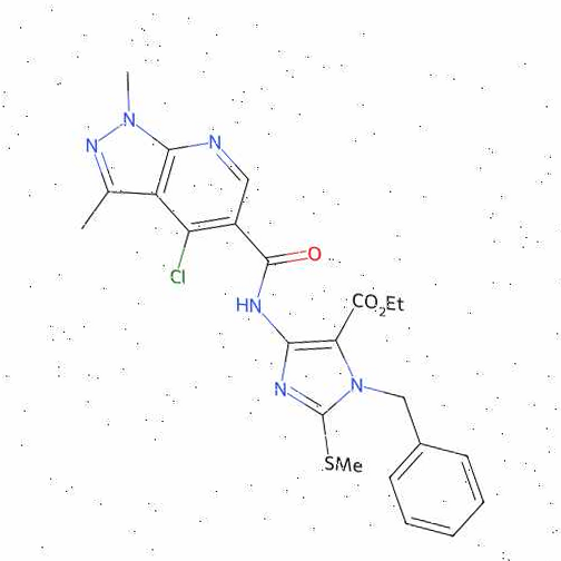 CCOC(=O)c1c(NC(=O)c2cnc3c(c(C)nn3C)c2Cl)nc(SC)n1Cc1ccccc1